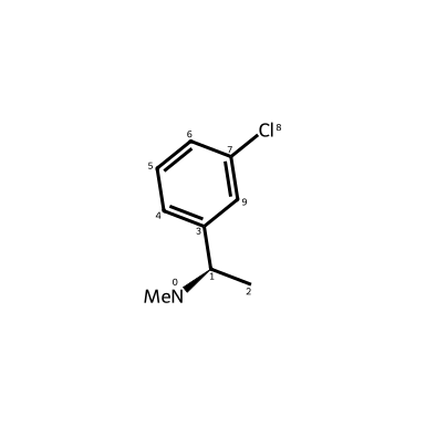 [CH2-][NH2+][C@H](C)c1cccc(Cl)c1